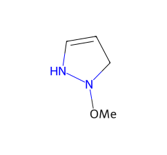 CON1CC=CN1